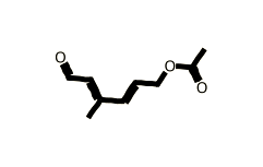 CC(=O)OCC=CC(C)=CC=O